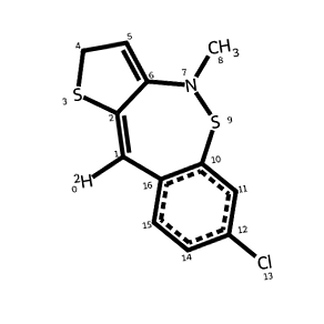 [2H]C1=C2SCC=C2N(C)Sc2cc(Cl)ccc21